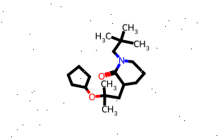 CC(C)(C)CN1CCCC(CC(C)(C)OC2CCCC2)C1=O